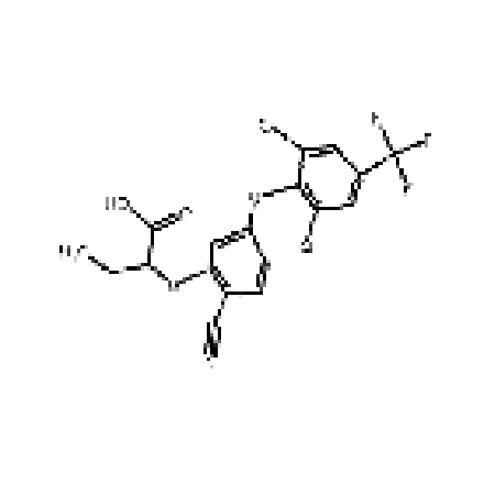 CCC(Oc1cc(Oc2c(Cl)cc(C(F)(F)F)cc2Cl)ccc1C#N)C(=O)O